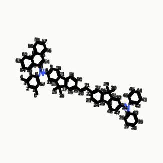 Cc1cc(C)cc(N(c2ccc3c(c2)C(C)(C)c2cc(/C=C/c4ccc5c(c4)C(C)(C)c4cc(N(c6ccccc6)c6ccccc6)ccc4-5)ccc2-3)c2cc3ccccc3c3ccccc23)c1